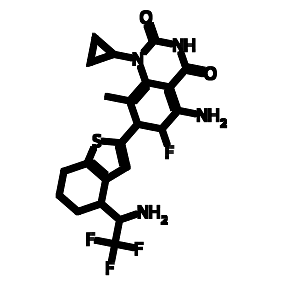 CC1=c2c(c(=O)[nH]c(=O)n2C2CC2)=C(N)C(F)C1c1cc2c(s1)CCCC2C(N)C(F)(F)F